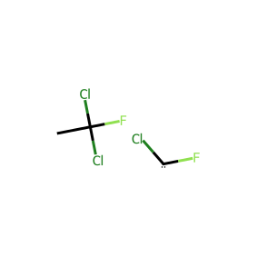 CC(F)(Cl)Cl.F[C]Cl